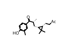 CC(=O)CC[C@H]1[C@@H](C[C@@H](C)C(=O)c2ccc(O)c(C)c2)C1(C)C